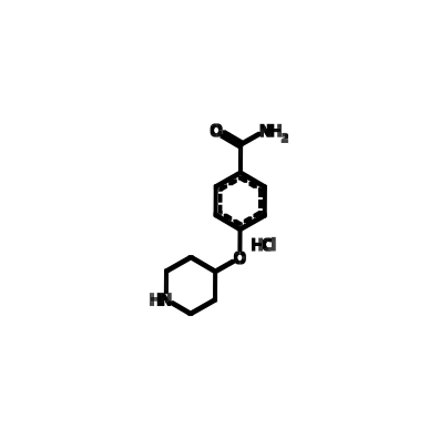 Cl.NC(=O)c1ccc(OC2CCNCC2)cc1